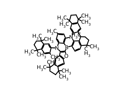 Cc1cc2c3c(c1)N(c1cc4c(cc1C)C(C)(C)CCC4(C)C)c1c(oc4cc5c(cc14)C(C)(C)CCC5(C)C)B3c1ccc3c4c1N2c1cc2c(cc1C4(C)CCC3(C)C)C(C)(C)CCC2(C)C